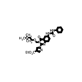 CCOC(=O)c1cnn(-c2nc3ccc(NC(=O)Nc4ccccc4)cc3c(=O)n2COCC[Si](C)(C)C)c1